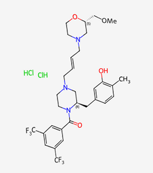 COC[C@@H]1CN(CC=CCN2CCN(C(=O)c3cc(C(F)(F)F)cc(C(F)(F)F)c3)[C@H](Cc3ccc(C)c(O)c3)C2)CCO1.Cl.Cl